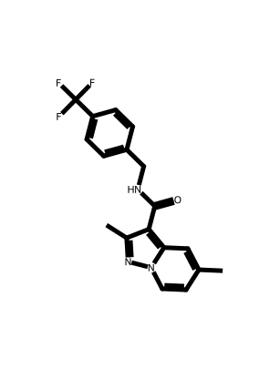 Cc1ccn2nc(C)c(C(=O)NCc3ccc(C(F)(F)F)cc3)c2c1